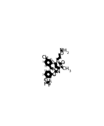 Cn1c(=O)n(CCCON)c(=O)c2c1nc(Oc1cccc(OC(F)(F)F)c1)n2Cc1ccc(Cl)cc1